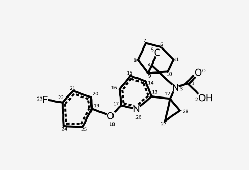 O=C(O)N(C1CC2CCC1CC2)C1(c2cccc(Oc3ccc(F)cc3)n2)CC1